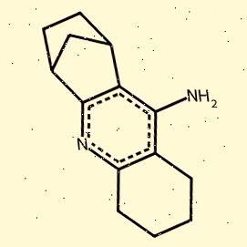 Nc1c2c(nc3c1C1CCC3C1)CCCC2